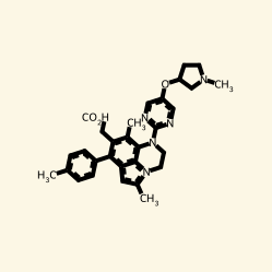 Cc1ccc(-c2c(CC(=O)O)c(C)c3c4c2cc(C)n4CCN3c2ncc(OC3CCN(C)C3)cn2)cc1